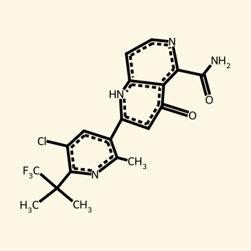 Cc1nc(C(C)(C)C(F)(F)F)c(Cl)cc1-c1cc(=O)c2c(C(N)=O)nccc2[nH]1